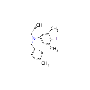 C#CCN(Cc1ccc(C)cc1)c1cc(C)c(I)c(C)c1